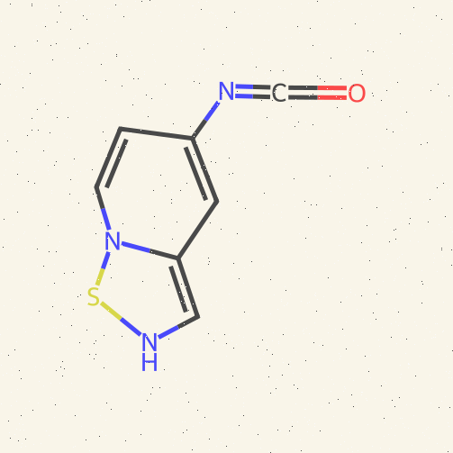 O=C=NC1=CC2=CNSN2C=C1